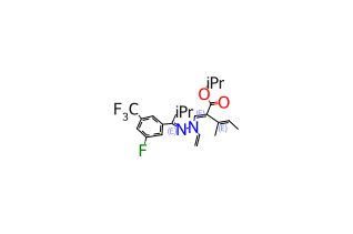 C=CN(/C=C(C(=O)OC(C)C)\C(C)=C\C)/N=C(/c1cc(F)cc(C(F)(F)F)c1)C(C)C